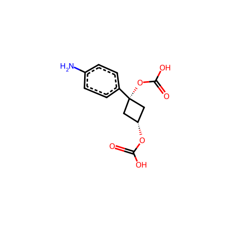 Nc1ccc([C@]2(OC(=O)O)C[C@@H](OC(=O)O)C2)cc1